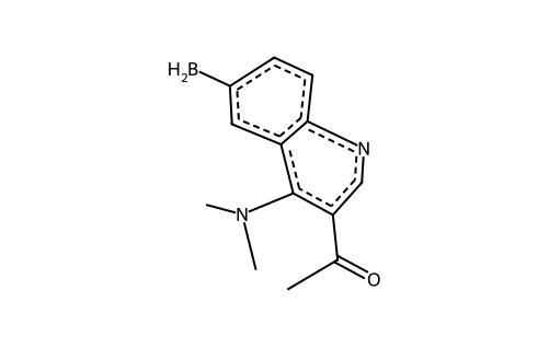 Bc1ccc2ncc(C(C)=O)c(N(C)C)c2c1